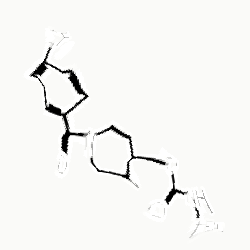 CC(C)(C)NC(=O)OC1CCN(C(=O)c2ccc(C(F)(F)F)cc2)CC1